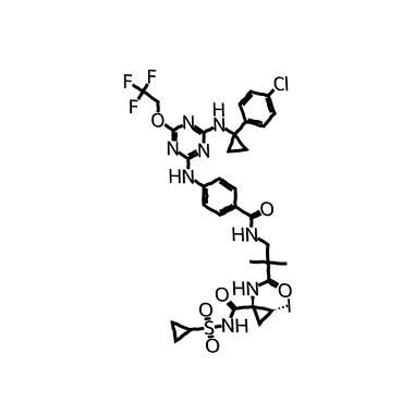 CC(C)(CNC(=O)c1ccc(Nc2nc(NC3(c4ccc(Cl)cc4)CC3)nc(OCC(F)(F)F)n2)cc1)C(=O)N[C@]1(C(=O)NS(=O)(=O)C2CC2)C[C@H]1I